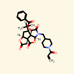 C=CC(=O)N1CCC(CN2C(=O)[C@H](OC(=O)c3ccccc3)[C@@]34[C@@H]2OC(=O)[C@@]32CC(=O)O[C@H]2C[C@@]4(O)C(C)(C)C)CC1